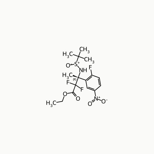 CCOC(=O)C(F)(F)[C@](C)(N[S+]([O-])C(C)(C)C)c1cc([N+](=O)[O-])ccc1F